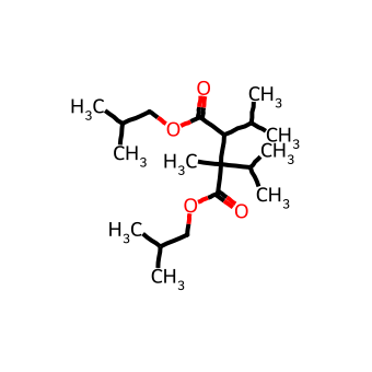 CC(C)COC(=O)C(C(C)C)C(C)(C(=O)OCC(C)C)C(C)C